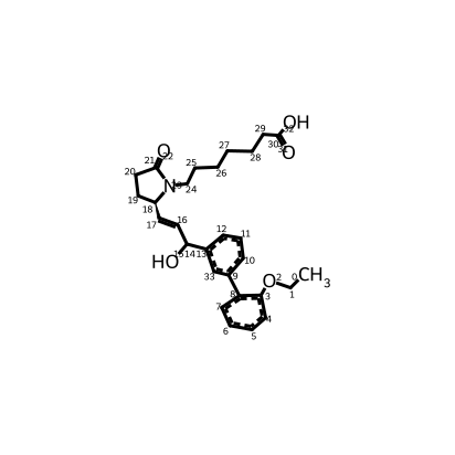 CCOc1ccccc1-c1cccc(C(O)/C=C/[C@H]2CCC(=O)N2CCCCCCC(=O)O)c1